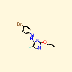 C=CCOc1ncc(F)c(/N=N/c2ccc(Br)cc2)n1